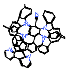 Cc1ccc2c(c1)c1ccccc1n2-c1c(C#N)c(-n2c3ccccc3c3cc(C)ccc32)c(-n2c3ccccc3c3cc(C)ccc32)c(-c2cccc3c2-c2ccccc2C32c3ncccc3-c3cccnc32)c1-n1c2ccccc2c2cc(C)ccc21